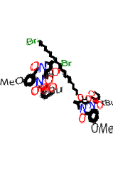 C=C1CN2C(=O)c3cc(OC)ccc3N(C(=O)OC(C)(C)C)[C@@H](OC3CCCCO3)[C@@H]2C1OCCCCCCCCC(OC1C(=C)CN2C(=O)c3cc(OC)ccc3N(C(=O)OC(C)(C)C)[C@@H](OC3CCCCO3)[C@H]12)C(Br)CCCCCCCCBr